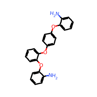 Nc1ccccc1Oc1ccc(Oc2ccccc2Oc2ccccc2N)cc1